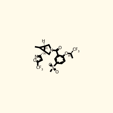 CC1[C@H]2CN(C(=O)c3cc(S(C)(=O)=O)ccc3O[C@H](C)C(F)(F)F)C[C@@]12c1cc(C(F)(F)F)on1